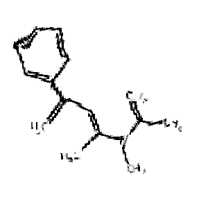 C=C(/C=C(\C)N(C)C(=C)C)c1ccccc1